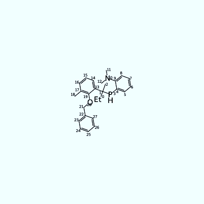 CCC(C)(Pc1ccccc1N(C)C)c1cccc(C)c1OCc1ccccc1